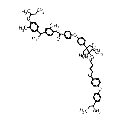 CCC(C)Oc1ccc(C(C)c2ccc(OC(=O)c3ccc(Oc4ccc(C(CC)(CC)C(C)(CC)OCCCCOc5ccc(Oc6ccc(C(N)CC)cc6)cc5)cc4)cc3)c(C)c2)cc1C